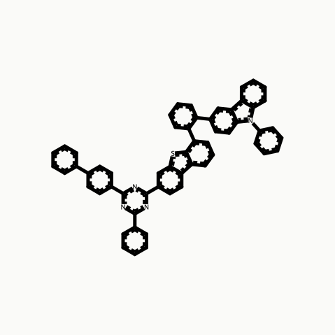 c1ccc(-c2ccc(-c3nc(-c4ccccc4)nc(-c4ccc5c(c4)sc4c(-c6ccccc6-c6ccc7c(c6)c6ccccc6n7-c6ccccc6)cccc45)n3)cc2)cc1